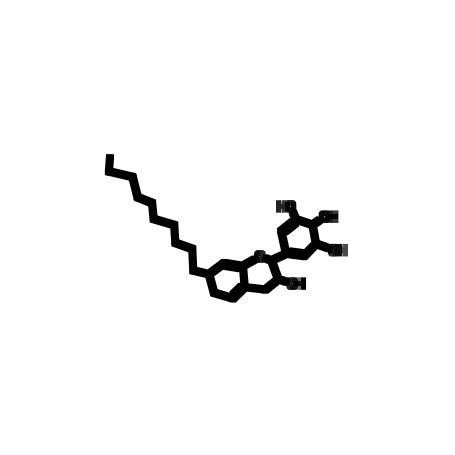 CCCCCCCCCCC1C=C2OC(C3=CC(O)C(O)C(O)=C3)C(O)CC2=CC1